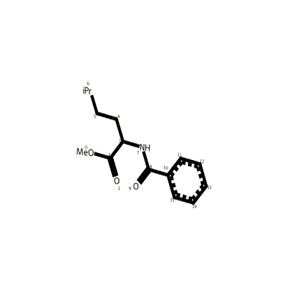 COC(=O)C(CCC(C)C)NC(=O)c1ccccc1